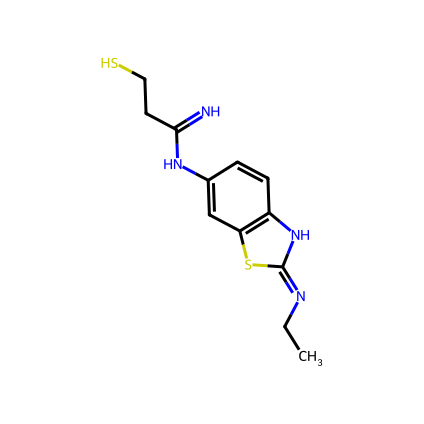 CCN=c1[nH]c2ccc(NC(=N)CCS)cc2s1